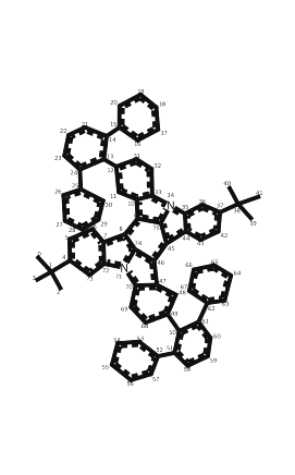 CC(C)(C)c1ccc2c3c4c5cc(-c6c(-c7ccccc7)cccc6-c6ccccc6)ccc5n5c6cc(C(C)(C)C)ccc6c(c6c7cc(-c8c(-c9ccccc9)cccc8-c8ccccc8)ccc7n(c2c1)c63)c45